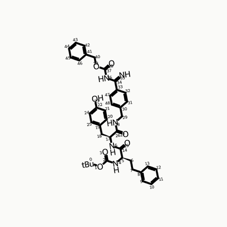 CC(C)(C)OC(=O)N[C@H](CCc1ccccc1)C(=O)N[C@@H](Cc1ccc(O)cc1)C(=O)NCc1ccc(C(=N)NC(=O)OCc2ccccc2)cc1